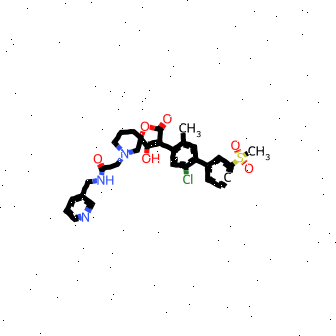 Cc1cc(-c2cccc(S(C)(=O)=O)c2)c(Cl)cc1C1=C(O)C2(CCCN(CC(=O)NCc3cccnc3)C2)OC1=O